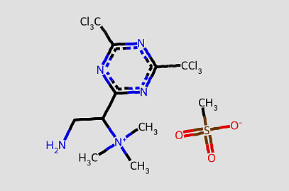 CS(=O)(=O)[O-].C[N+](C)(C)C(CN)c1nc(C(Cl)(Cl)Cl)nc(C(Cl)(Cl)Cl)n1